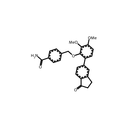 COc1ccc(-c2ccc3c(c2)CCC3=O)c(OCc2ccc(C(N)=O)cc2)c1OC